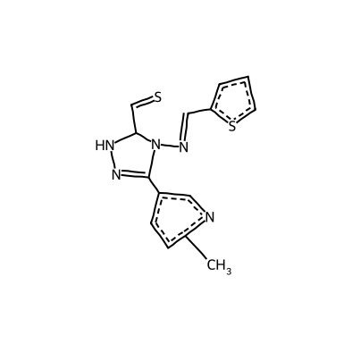 Cc1ccc(C2=NNC(C=S)N2N=Cc2cccs2)cn1